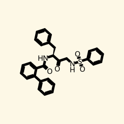 O=C(N[C@@H](Cc1ccccc1)C(=O)CNS(=O)(=O)c1ccccc1)c1ccccc1-c1ccccc1